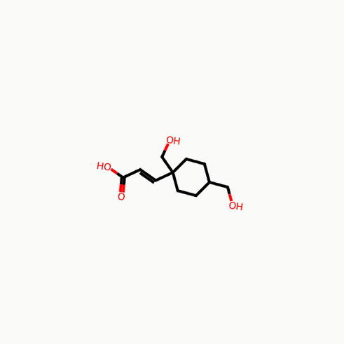 O=C(O)/C=C/C1(CO)CCC(CO)CC1